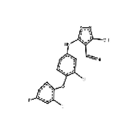 N=Cc1c(O)nsc1Nc1ccc(Oc2ccc(F)cc2Cl)c(Cl)c1